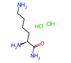 Cl.Cl.NCCCC[C@H](N)C(N)=O